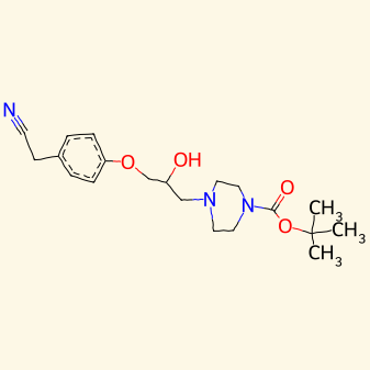 CC(C)(C)OC(=O)N1CCN(CC(O)COc2ccc(CC#N)cc2)CC1